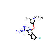 CC(C)(C)C1CC(Oc2nc(C(=N)NN)cc3ccc(F)cc23)CN1C(=O)O